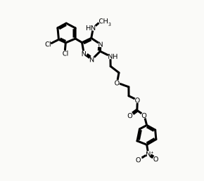 CNc1nc(NCCOCCOC(=O)Oc2ccc([N+](=O)[O-])cc2)nnc1-c1cccc(Cl)c1Cl